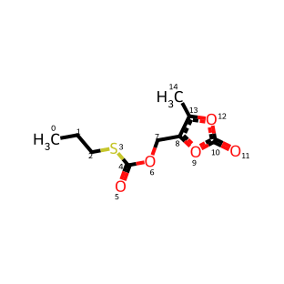 CCCSC(=O)OCc1oc(=O)oc1C